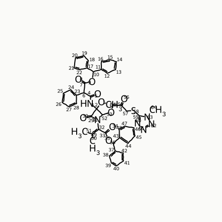 COC1(NC(=O)C(C(=O)OC(c2ccccc2)c2ccccc2)c2ccccc2)C(=O)N(C(C(=O)OC(c2ccccc2)c2ccccc2)=C(C)C)C1OCC(=O)CSc1nnnn1C